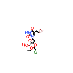 CCOC(CCl)OC1C[C@@H](n2cc(C=CBr)c(=O)[nH]c2=O)O[C@H]1CO